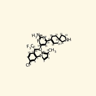 Cc1ccn(-c2cc(Cl)ccc2[C@@H](Oc2cc(C3=CC[C@@]4(CCNC4)CC3)nc(N)n2)C(F)(F)F)n1